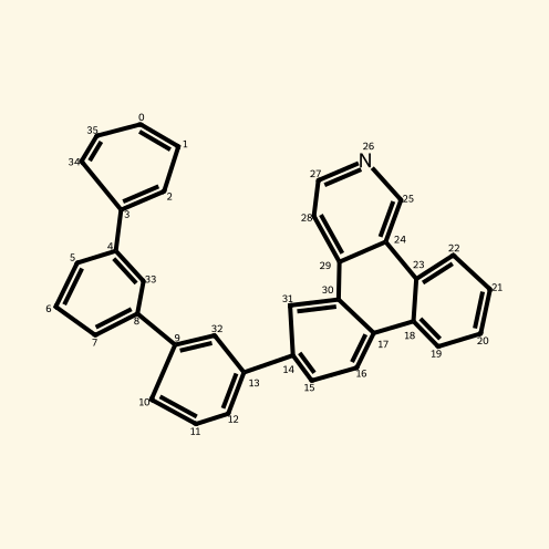 c1ccc(-c2cccc(-c3cccc(-c4ccc5c6ccccc6c6cnccc6c5c4)c3)c2)cc1